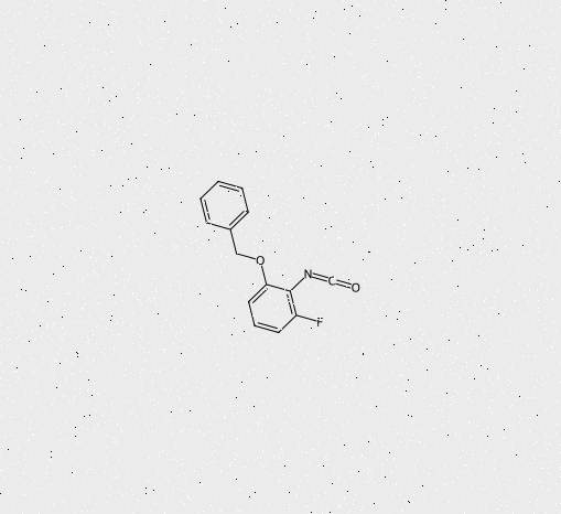 O=C=Nc1c(F)cccc1OCc1ccccc1